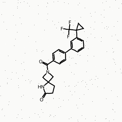 O=C1CCC2(CN(C(=O)c3ccc(-c4cccc(C5(C(F)(F)F)CC5)c4)cc3)C2)N1